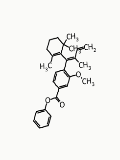 C=CC(C)=C(C1=C(C)CCCC1(C)C)c1ccc(C(=O)Oc2ccccc2)cc1OC